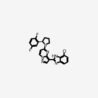 Fc1ccc(F)c([C@H]2CCCN2c2ccn3ncc(-c4nc5cccc(Cl)c5[nH]4)c3n2)c1